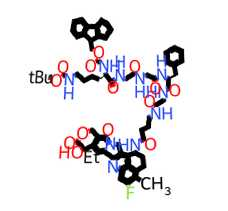 CC[C@@]1(O)C(=O)OCc2c1cc1n(c2=O)Cc2c-1nc1cc(F)c(C)c3c1c2[C@@H](NC(=O)CCCNC(=O)CNC(=O)[C@H](Cc1ccccc1)NC(=O)CNC(=O)CNC(=O)[C@H](CCCCNC(=O)OC(C)(C)C)NC(=O)OCC1c2ccccc2-c2ccccc21)CC3